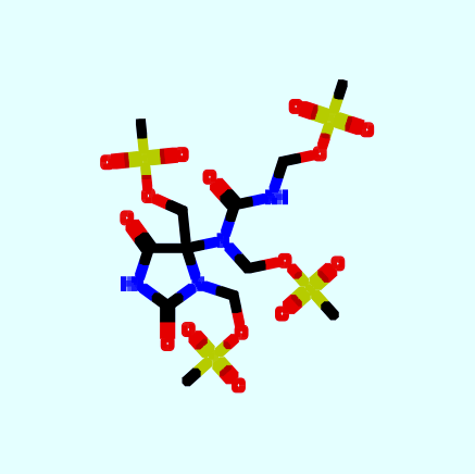 CS(=O)(=O)OCNC(=O)N(COS(C)(=O)=O)C1(COS(C)(=O)=O)C(=O)NC(=O)N1COS(C)(=O)=O